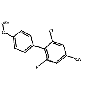 CCCCOc1ccc(-c2c(F)cc(C#N)cc2Cl)cc1